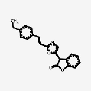 CCc1ccc(/C=C/c2ncc(C3C(=O)Oc4ccccc43)o2)cc1